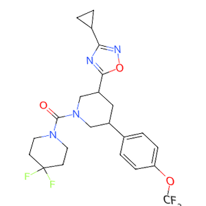 O=C(N1CCC(F)(F)CC1)N1CC(c2ccc(OC(F)(F)F)cc2)CC(c2nc(C3CC3)no2)C1